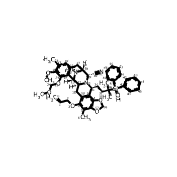 C=CCOc1c(C)c2c(c3c1C[C@H]1[C@@H]4c5c(cc(C)c(OC)c5OCOC)C[C@H]([C@H](C#N)N1[C@H]3CCC(C)(C)[Si](O)(c1ccccc1)c1ccccc1)N4C)OCO2